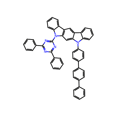 c1ccc(-c2ccc(-c3ccc(-n4c5ccccc5c5cc6c7ccccc7n(-c7nc(-c8ccccc8)nc(-c8ccccc8)n7)c6cc54)cc3)cc2)cc1